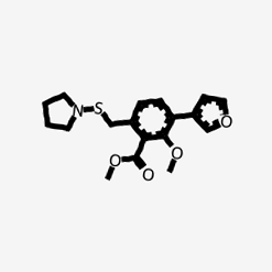 COC(=O)c1c(CSN2CCCC2)ccc(-c2ccoc2)c1OC